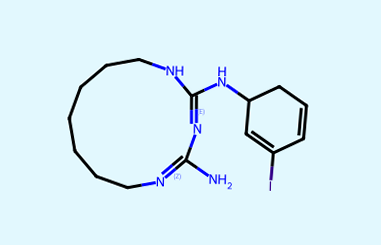 NC1=N/CCCCCCCN/C(NC2C=C(I)C=CC2)=N\1